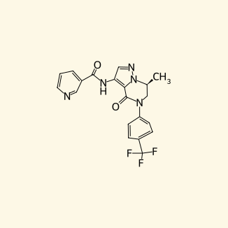 C[C@H]1CN(c2ccc(C(F)(F)F)cc2)C(=O)c2c(NC(=O)c3cccnc3)cnn21